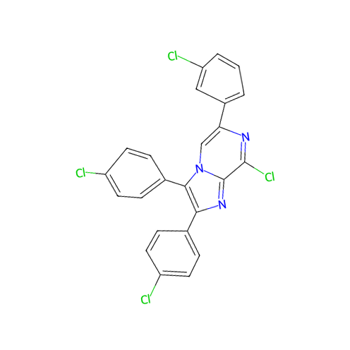 Clc1ccc(-c2nc3c(Cl)nc(-c4cccc(Cl)c4)cn3c2-c2ccc(Cl)cc2)cc1